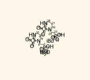 CCC(C)OP(=O)(O)CCN1CCCNc2c1c(=O)c2=O.CCC(C)OP(=O)(O)CCN1CCCNc2c1c(=O)c2=O.O